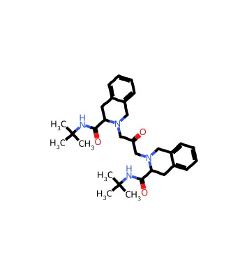 CC(C)(C)NC(=O)C1Cc2ccccc2CN1CC(=O)CN1Cc2ccccc2CC1C(=O)NC(C)(C)C